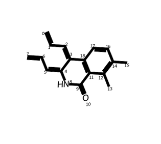 C=C/C=c1\c(=C/C=C)[nH]c(=O)c2c(C)c(C)ccc12